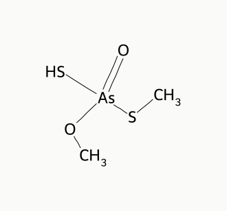 CO[As](=O)(S)SC